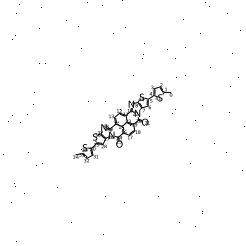 Cc1ccc(-c2cc3c(nc4c5ccc6c7c(ccc(c(=O)n34)c57)c(=O)n3c4cc(-c5ccc(C)s5)sc4nc63)s2)s1